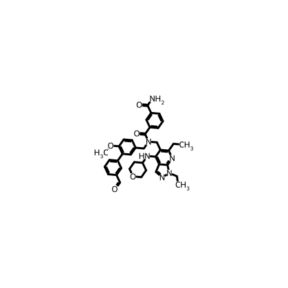 CCc1nc2c(cnn2CC)c(NC2CCOCC2)c1CN(Cc1ccc(OC)c(-c2cccc(C=O)c2)c1)C(=O)c1cccc(C(N)=O)c1